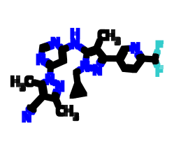 Cc1nn(-c2cc(Nc3c(C)c(-c4ccc(C(F)F)nc4)nn3CC3CC3)ncn2)c(C)c1C#N